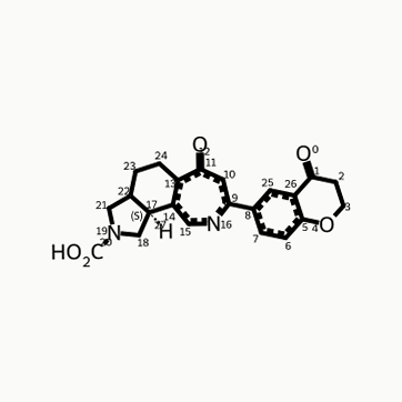 O=C1CCOc2ccc(-c3cc(=O)c4c(cn3)[C@H]3CN(C(=O)O)CC3CC4)cc21